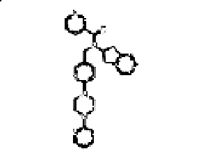 O=C(c1cccnc1)N(Cc1ccc(N2CCN(c3ccccn3)CC2)nc1)C1Cc2ccccc2C1